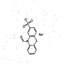 O=CN1c2ccccc2Sc2ccc(S(=O)(=O)[O-])cc21.[Na+]